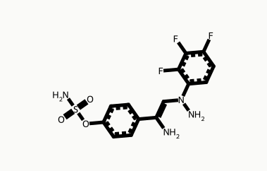 N/C(=C\N(N)c1ccc(F)c(F)c1F)c1ccc(OS(N)(=O)=O)cc1